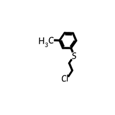 Cc1cccc(SCCCl)c1